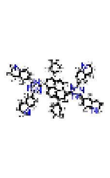 c1ccc(-c2cc(-c3nc(-c4ccc5ncccc5c4)nc(-c4ccc5ncccc5c4)n3)c3ccc4c(-c5ccccc5)cc(-c5nc(-c6ccc7ncccc7c6)nc(-c6ccc7ncccc7c6)n5)c5ccc2c3c45)cc1